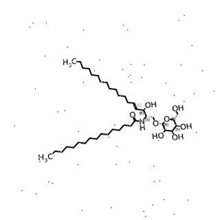 CCCCCCCCCCCCC/C=C/[C@@H](O)[C@H](CO[C@@H]1O[C@H](CO)[C@@H](O)C(O)C1O)NC(=O)CCCCCCCCCCCCCCC